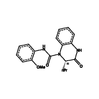 CCC[C@H]1C(=O)Nc2ccccc2N1C(=O)Nc1ccccc1OC